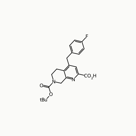 CC(C)(C)OC(=O)N1CCc2c(Cc3ccc(F)cc3)cc(C(=O)O)nc2C1